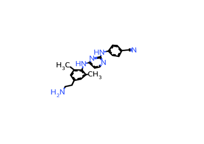 Cc1cc(CCN)cc(C)c1Nc1ccnc(Nc2ccc(C#N)cc2)n1